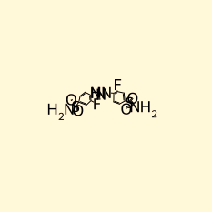 NS(=O)(=O)c1ccc(N=NNc2ccc(S(N)(=O)=O)cc2F)c(F)c1